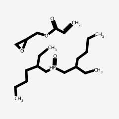 C=CC(=O)OCC1CO1.CCCCC(CC)C[PH](=O)CC(CC)CCCC